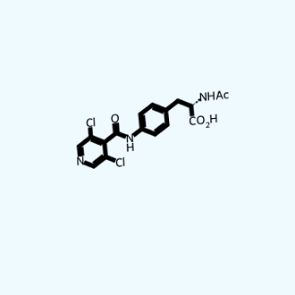 CC(=O)N[C@@H](Cc1ccc(NC(=O)c2c(Cl)cncc2Cl)cc1)C(=O)O